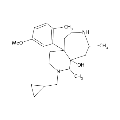 COc1ccc(C)c(C23CCNC(C)CC2(O)C(C)N(CC2CC2)CC3)c1